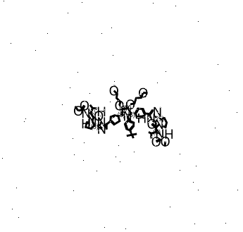 COCCCO[C@H]1[C@H](OCCCOC)[C@H](C2C=CC(c3cnc([C@@H]4CCCN4C(=O)[C@@H](NC(=O)OC)C(C)C)[nH]3)=CC2)N(c2ccc(C(C)(C)C)cc2)[C@H]1c1ccc(-c2cnc([C@@H]3CCCN3C(=O)[C@@H](NC(=O)OC)C(C)C)[nH]2)cc1